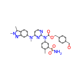 Cc1ccc(N(C(=O)OCc2ccc(C=O)cc2)c2nccc(N(C)c3ccc4c(C)n(C)nc4c3)n2)cc1S(N)(=O)=O